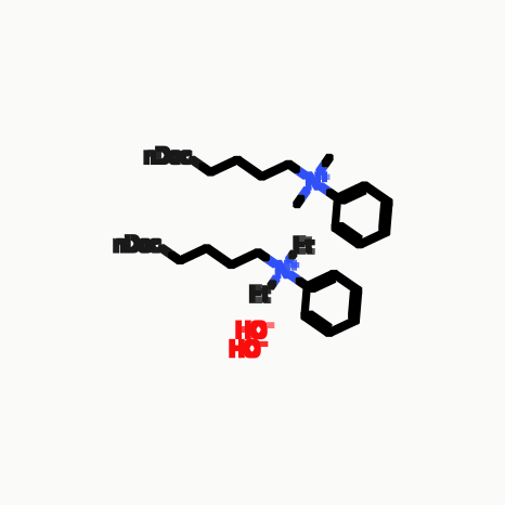 CCCCCCCCCCCCCC[N+](C)(C)c1ccccc1.CCCCCCCCCCCCCC[N+](CC)(CC)c1ccccc1.[OH-].[OH-]